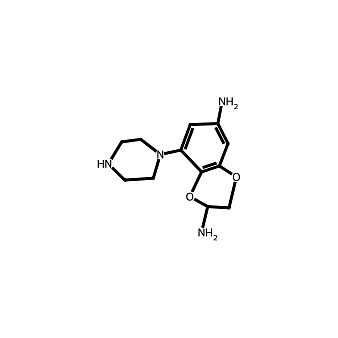 Nc1cc2c(c(N3CCNCC3)c1)OC(N)CO2